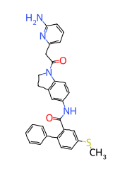 CSc1ccc(-c2ccccc2)c(C(=O)Nc2ccc3c(c2)CCN3C(=O)Cc2cccc(N)n2)c1